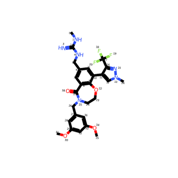 CNC(=N)NCc1cc2c(c(-c3cn(C)nc3C(F)(F)F)c1)OCCN(Cc1cc(OC)cc(OC)c1)C2=O